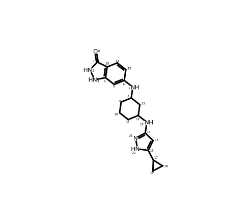 O=c1[nH][nH]c2cc(NC3CCCC(Nc4cc(C5CC5)[nH]n4)C3)ccc12